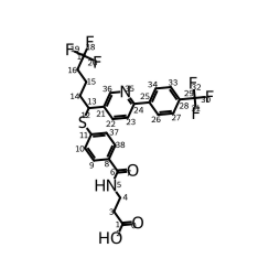 O=C(O)CCNC(=O)c1ccc(SC(CCCC(F)(F)F)c2ccc(-c3ccc(C(F)(F)F)cc3)nc2)cc1